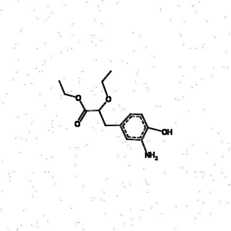 CCOC(=O)C(Cc1ccc(O)c(N)c1)OCC